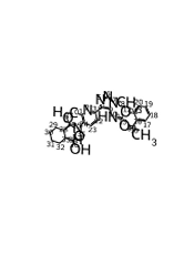 Cc1nc(-c2nnn(C)c2NC(=O)O[C@H](C)c2ccccc2)ccc1NC(=O)C1CCCCC1C(=O)O